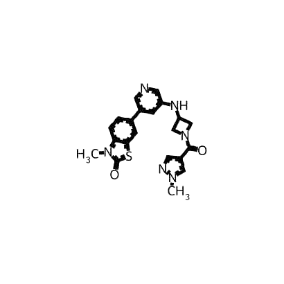 Cn1cc(C(=O)N2CC(Nc3cncc(-c4ccc5c(c4)sc(=O)n5C)c3)C2)cn1